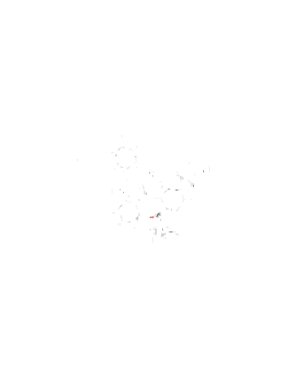 CCOc1cc([C@H](Nc2cc(C(N)=O)ccc2F)C(=O)N2CCC[C@@H]2c2cc(N(C)C(=O)O)ccc2S(=O)(=O)C(C)C)ccc1F